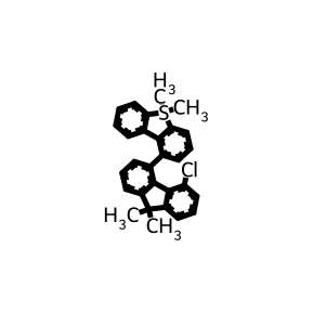 CC1(C)c2cccc(Cl)c2-c2c(-c3cccc4c3-c3ccccc3S4(C)C)cccc21